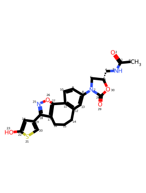 CC(=O)NC[C@H]1CN(c2ccc3c(c2)CCCc2c(-c4csc(O)c4)noc2-3)C(=O)O1